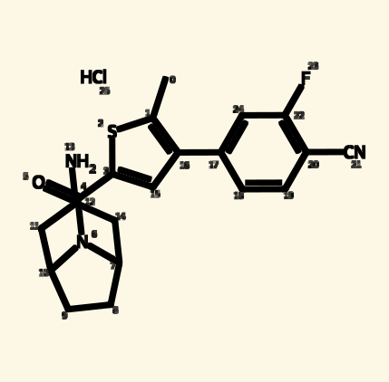 Cc1sc(C(=O)N2C3CCC2CC(N)C3)cc1-c1ccc(C#N)c(F)c1.Cl